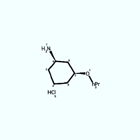 CCCO[C@H]1CCC[C@@H](N)C1.Cl